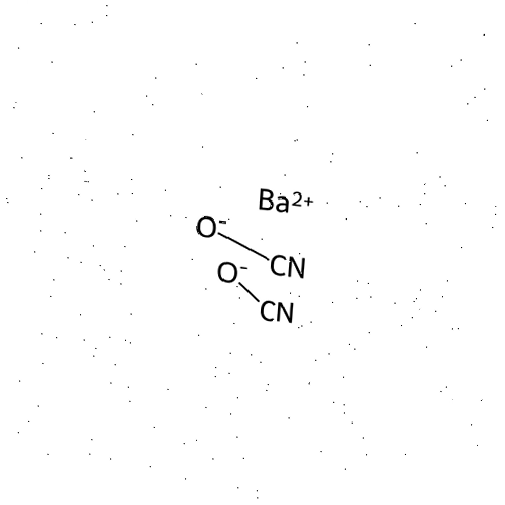 N#C[O-].N#C[O-].[Ba+2]